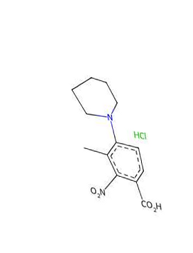 Cc1c(N2CCCCC2)ccc(C(=O)O)c1[N+](=O)[O-].Cl